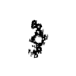 CC1([C@@H]2C[C@@H]3CO[P@](=O)(S)O[C@H]4[C@@H](F)[C@H](n5cnc6c5ncn5ccnc65)O[C@@H]4CO[P@@](=O)(S)OC[C@H]32)C=CN=C(C(N)=O)C1